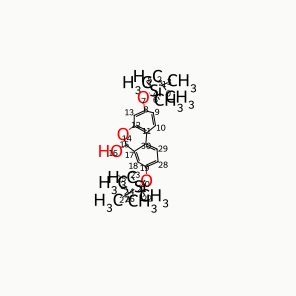 CC(C)(C)[Si](C)(C)Oc1ccc2c(c1)OC(O)c1cc(O[Si](C)(C)C(C)(C)C)ccc1-2